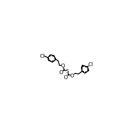 O=C(OCCc1ccc(Cl)cc1)SC(=O)OCCc1ccc(Cl)cc1